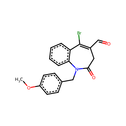 COc1ccc(CN2C(=O)CC(C=O)=C(Br)c3ccccc32)cc1